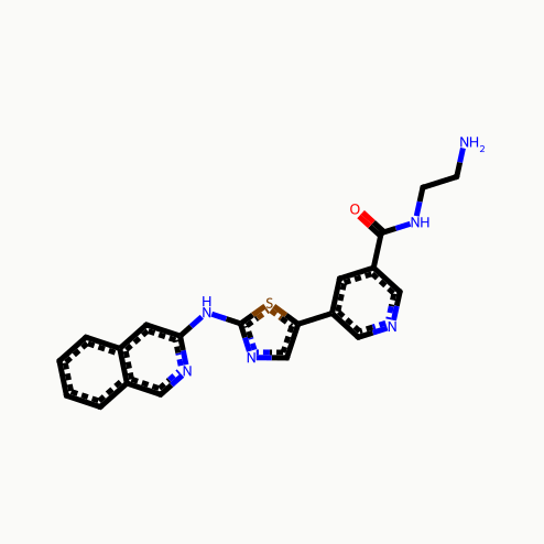 NCCNC(=O)c1cncc(-c2cnc(Nc3cc4ccccc4cn3)s2)c1